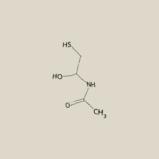 CC(=O)NC(O)CS